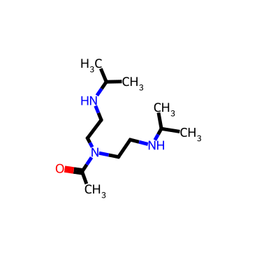 CC(=O)N(CCNC(C)C)CCNC(C)C